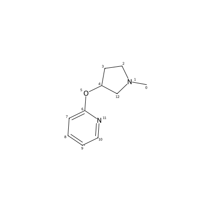 CN1CCC(Oc2cc[c]cn2)C1